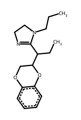 CCCN1CCN=C1C(CC)C1COc2ccccc2O1